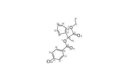 CCOC(=O)C(C)(OC(=O)c1ccc(Cl)cc1)c1ccccc1